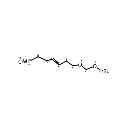 CCCCOCOCC/C=C/C[CH2][Mg][Cl]